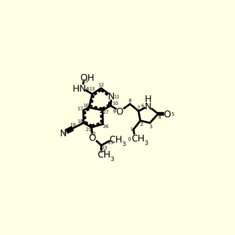 CCC1CC(=O)NC1COc1ncc(NO)c2cc(C#N)c(OC(C)C)cc12